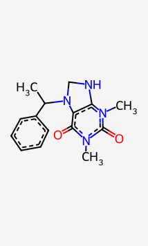 CC(c1ccccc1)N1CNc2c1c(=O)n(C)c(=O)n2C